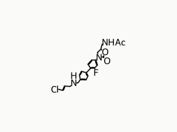 CC(=O)NCC1CN(c2ccc(-c3ccc(CNCC=CCl)cc3)c(F)c2)C(=O)O1